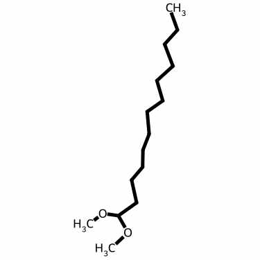 CCCCCCCCCCCCC(OC)OC